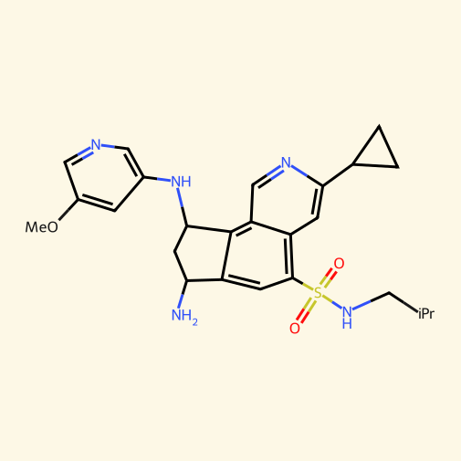 COc1cncc(NC2CC(N)c3cc(S(=O)(=O)NCC(C)C)c4cc(C5CC5)ncc4c32)c1